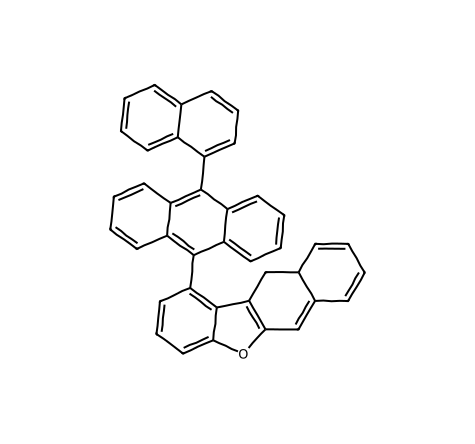 C1=CC2=Cc3oc4cccc(-c5c6ccccc6c(-c6cccc7ccccc67)c6ccccc56)c4c3CC2C=C1